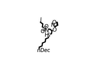 CCCCCCCCCCCCCCCCSCC(CNS(=O)(=O)CCCI)Oc1ccon1